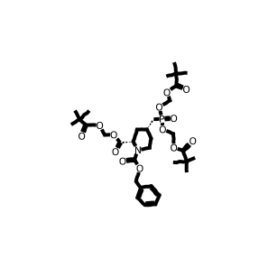 CC(C)(C)C(=O)OCOC(=O)[C@@H]1C[C@H](CP(=O)(OCOC(=O)C(C)(C)C)OCOC(=O)C(C)(C)C)CCN1C(=O)OCc1ccccc1